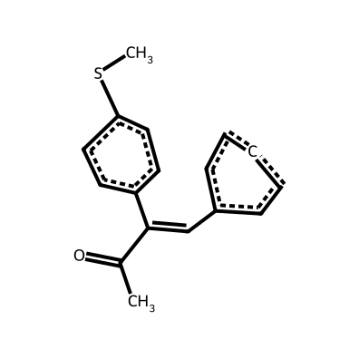 CSc1ccc(/C(=C\c2ccccc2)C(C)=O)cc1